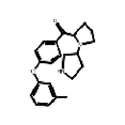 Cc1cccc(Oc2ccc(C(=O)C3CCCN3C3CCNC3)cc2)c1